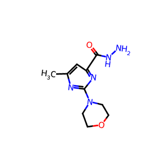 Cc1cc(C(=O)NN)nc(N2CCOCC2)n1